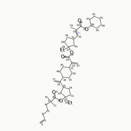 C=CCCCC(C)(C)C(=O)OC1(CC)CCC(C(=C)C2CCC(C(=C)C(=O)OC3(CC)CCC(/C=C(\C)C(=O)OC4CCCCC4)C3)CC2)C1